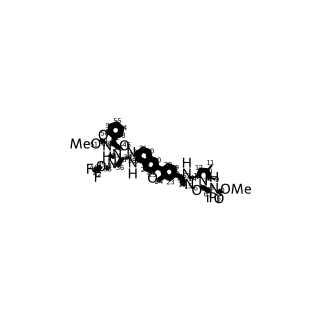 COC(=O)N[C@H](C(=O)N1[C@H](C)[C@H](C)C[C@H]1c1ncc(-c2ccc3c(c2)COc2cc4c(ccc5nc([C@@H]6CN(COC(F)F)CN6C(=O)[C@H](NC(=O)OC)c6ccccc6)[nH]c54)cc2-3)[nH]1)C(C)C